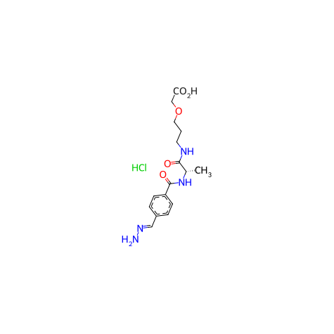 C[C@H](NC(=O)c1ccc(C=NN)cc1)C(=O)NCCCOCC(=O)O.Cl